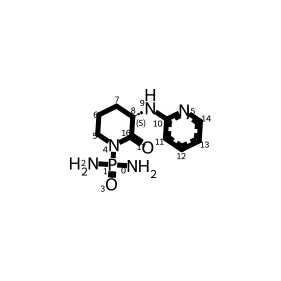 NP(N)(=O)N1CCC[C@H](Nc2ccccn2)C1=O